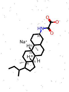 CCC(C)C1CC[C@H]2[C@@H]3CCC4C[C@H](NC(=O)C(=O)[O-])CC[C@]4(C)[C@H]3CC[C@]12C.[Na+]